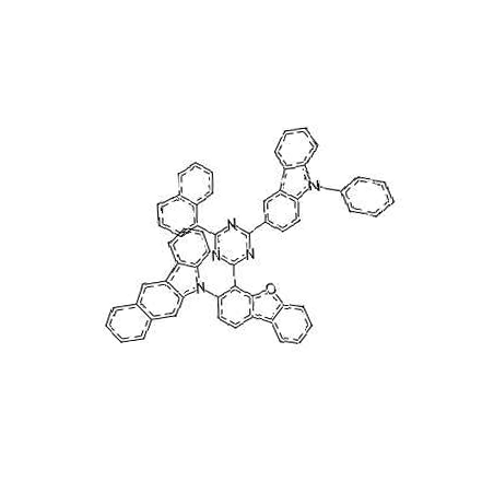 c1ccc(-n2c3ccccc3c3cc(-c4nc(-c5cccc6ccccc56)nc(-c5c(-n6c7ccccc7c7cc8ccccc8cc76)ccc6c5oc5ccccc56)n4)ccc32)cc1